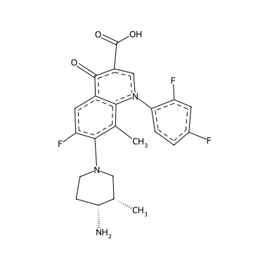 Cc1c(N2CC[C@@H](N)[C@@H](C)C2)c(F)cc2c(=O)c(C(=O)O)cn(-c3ccc(F)cc3F)c12